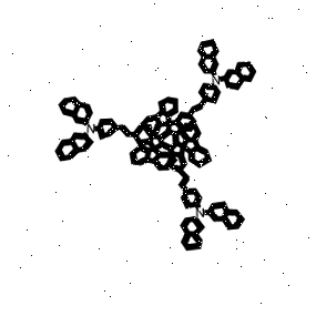 C(=C\c1ccc2c(c1)C1(c3ccccc3-c3ccccc31)c1c-2c2c(c3c1-c1ccc(/C=C/c4ccc(N(c5ccc6ccccc6c5)c5ccc6ccccc6c5)cc4)cc1C31c3ccccc3-c3ccccc31)-c1ccc(/C=C/c3ccc(N(c4ccc5ccccc5c4)c4ccc5ccccc5c4)cc3)cc1C21c2ccccc2-c2ccccc21)/c1ccc(N(c2ccc3ccccc3c2)c2ccc3ccccc3c2)cc1